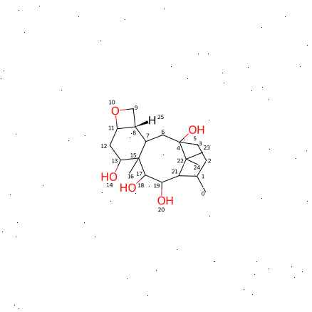 CC1CCC2(O)CC3[C@H]4COC4CC(O)C3(C)C(O)C(O)C1C2(C)C